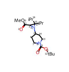 COC(=O)C1N(C2CCN(C(=O)OC(C)(C)C)CC2)C1(C(C)C)C(C)C